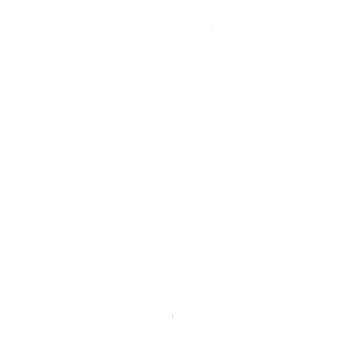 CCCC=CCOc1ccc(-c2ccc(C)s2)cc1